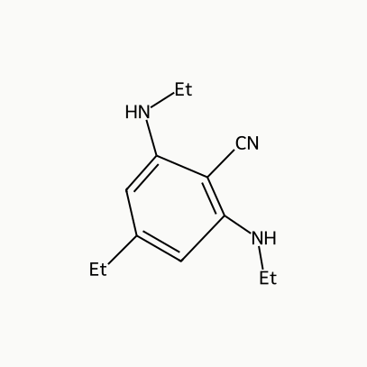 CCNc1cc(CC)cc(NCC)c1C#N